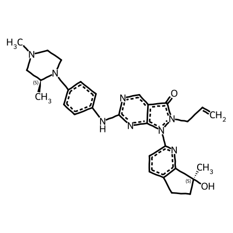 C=CCn1c(=O)c2cnc(Nc3ccc(N4CCN(C)C[C@@H]4C)cc3)nc2n1-c1ccc2c(n1)[C@@](C)(O)CC2